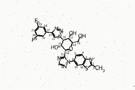 Cc1nc2ccc(-n3ncnc3[C@@H]3O[C@H](CO)[C@H](O)[C@H](n4cc(-c5cc(F)cc(F)c5)nn4)[C@H]3O)cc2s1